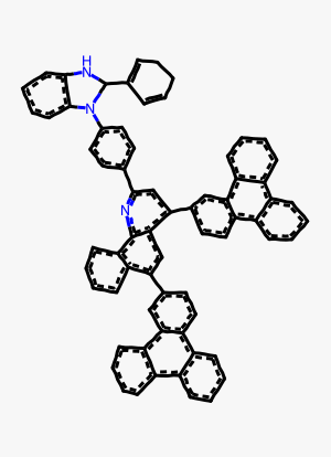 C1=CC(C2Nc3ccccc3N2c2ccc(-c3cc(-c4ccc5c6ccccc6c6ccccc6c5c4)c4cc(-c5ccc6c7ccccc7c7ccccc7c6c5)c5ccccc5c4n3)cc2)=CCC1